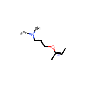 C/C=C(/C)OCCCN(CCC)CCC